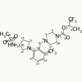 CC(OC(=O)N1CCN(Cc2c(N3CC[C@@H](NS(C)(=O)=O)C3)cccc2C(F)(F)F)CC1)C(F)(F)F